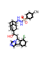 N#Cc1ccc(S(=O)(=O)NNC2C3CC4CC2CC(C(O)CC2c5c(F)cccc5-c5cncn52)(C4)C3)cc1